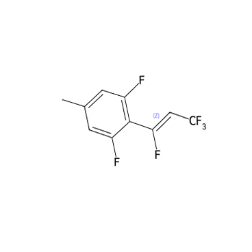 Cc1cc(F)c(/C(F)=C/C(F)(F)F)c(F)c1